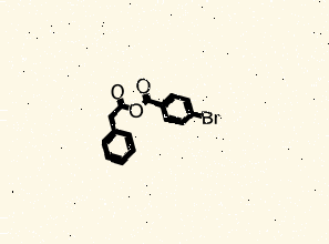 O=C(Cc1ccccc1)OC(=O)c1ccc(Br)cc1